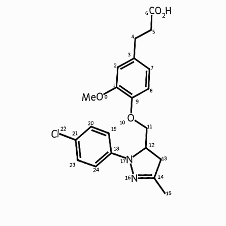 COc1cc(CCC(=O)O)ccc1OCC1CC(C)=NN1c1ccc(Cl)cc1